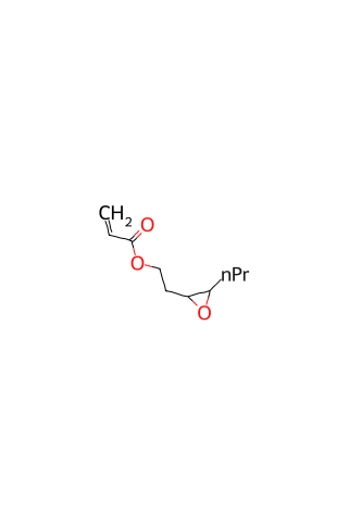 C=CC(=O)OCCC1OC1CCC